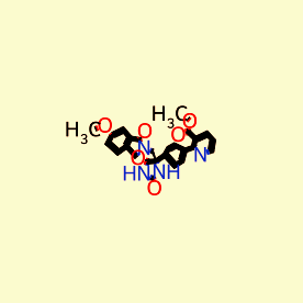 COC(=O)c1cccnc1-c1ccc([C@]2(CN3Cc4ccc(OC)cc4C3=O)NC(=O)NC2=O)cc1